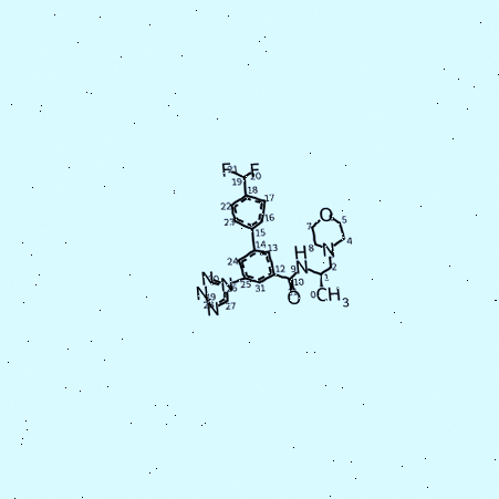 C[C@H](CN1CCOCC1)NC(=O)c1cc(-c2ccc(C(F)F)cc2)cc(-n2cnnn2)c1